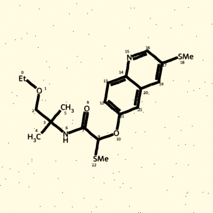 CCOCC(C)(C)NC(=O)C(Oc1ccc2ncc(SC)cc2c1)SC